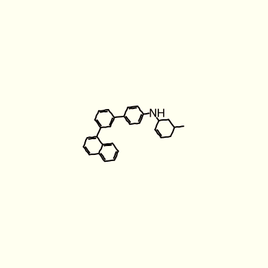 CC1CC=CC(Nc2ccc(-c3cccc(-c4cccc5ccccc45)c3)cc2)C1